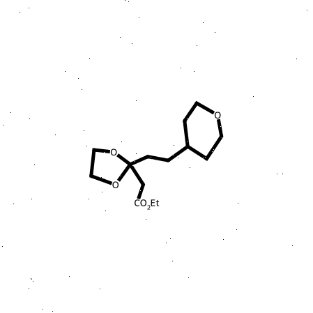 CCOC(=O)CC1(CCC2CCOCC2)OCCO1